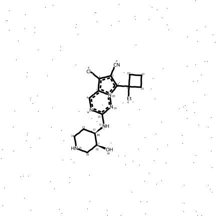 CCC1(c2c(C#N)c(Cl)c3cnc(N[C@@H]4CCNC[C@@H]4O)nn23)CCC1